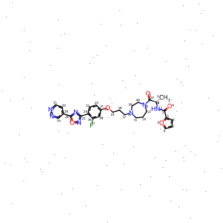 C[C@H](NC(=O)c1ccco1)C(=O)N1CCCN(CCCOc2ccc(-c3noc(-c4ccnnc4)n3)c(F)c2)CC1